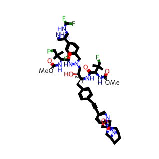 COC(=O)NC(C(=O)N[C@@H](Cc1ccc(C#Cc2ccc(N3CC4CCC(C3)N4C3COC3)nc2)cc1)[C@@H](O)CN(Cc1ccc(/C(C=N)=C/NC(F)F)cc1F)NC(=O)[C@@H](NC(=O)OC)C(C)(C)CF)C(C)(C)CF